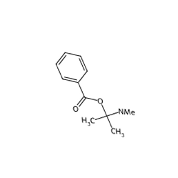 CNC(C)(C)OC(=O)c1ccccc1